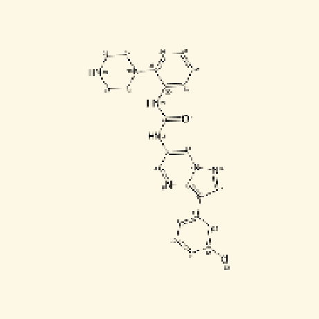 O=C(Nc1cnc2c(-c3cccc(Cl)c3)cnn2c1)Nc1ccccc1N1CCNCC1